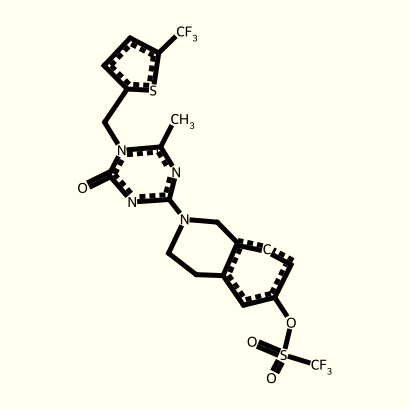 Cc1nc(N2CCc3cc(OS(=O)(=O)C(F)(F)F)ccc3C2)nc(=O)n1Cc1ccc(C(F)(F)F)s1